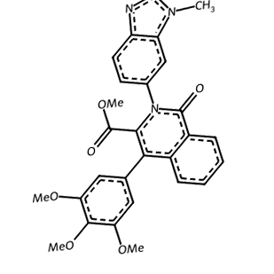 COC(=O)c1c(-c2cc(OC)c(OC)c(OC)c2)c2ccccc2c(=O)n1-c1ccc2nnn(C)c2c1